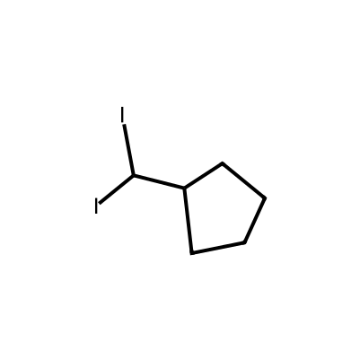 IC(I)C1CCCC1